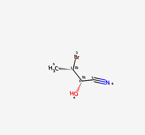 C[C@H](Br)[C@@H](O)C#N